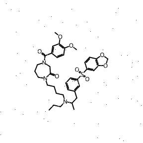 CCCN(CCCCN1CCCN(C(=O)c2ccc(OC)c(OC)c2)CC1=O)C(C)Cc1cccc(S(=O)(=O)c2ccc3c(c2)OCO3)c1